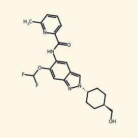 Cc1cccc(C(=O)Nc2cc3cn([C@H]4CC[C@H](CO)CC4)nc3cc2OC(F)F)n1